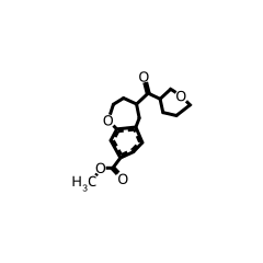 COC(=O)c1ccc2c(c1)OCCC(C(=O)C1CCCOC1)C2